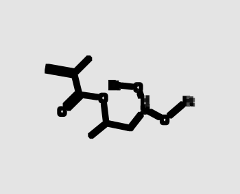 C=C(C)C(=O)OC(C)C[SiH](OCC)OCC